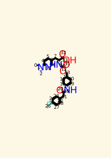 CN(C)c1ccc(CC(NC(=O)OCc2ccc(NC(=O)Cc3ccc(F)cc3)cc2)C(=O)O)cn1